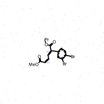 COC(=O)/C=C\C=C(\C(=O)OC(C)C)c1ccc(Br)c(Br)c1